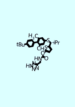 Cc1cc(S[C@@H](c2ccc(OC(=O)NCc3nn[nH]n3)s2)C(C)C)cc(C)c1-c1ccc(C(C)(C)C)cc1